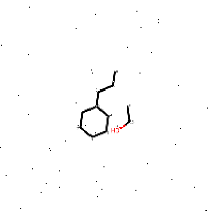 CCCC1CCCCC1.CCO